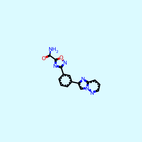 NC(=O)c1nc(-c2cccc(-c3cn4ncccc4n3)c2)no1